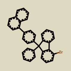 Brc1cccc2c1-c1ccccc1C2(c1ccccc1)c1ccc(-c2cccc3ccccc23)cc1